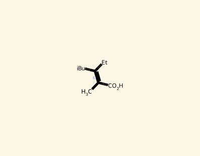 CC/C(=C(/C)C(=O)O)C(C)CC